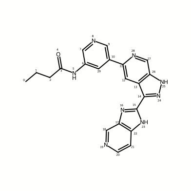 CCCC(=O)Nc1cncc(-c2cc3c(-c4nc5cnccc5[nH]4)n[nH]c3cn2)c1